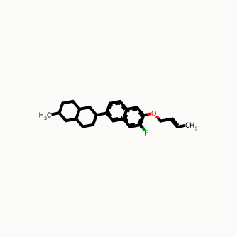 CC=CCOc1cc2ccc(C3CCC4CC(C)CCC4C3)cc2cc1F